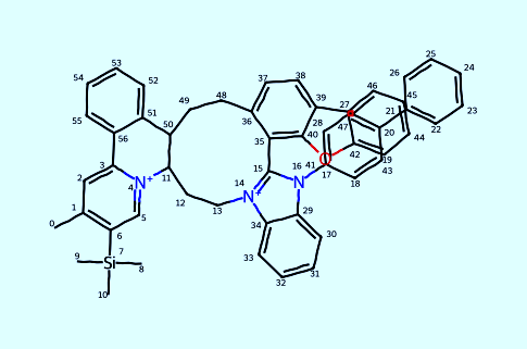 Cc1cc2[n+](cc1[Si](C)(C)C)C1CC[n+]3c(n(-c4ccc(-c5ccccc5)cc4)c4ccccc43)-c3c(ccc4c3oc3ccccc34)CCC1c1ccccc1-2